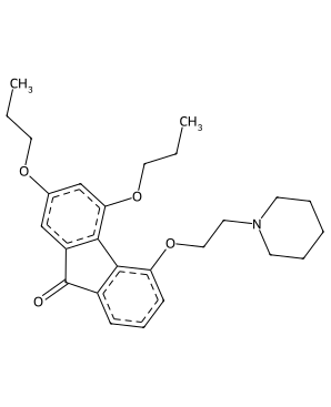 CCCOc1cc(OCCC)c2c(c1)C(=O)c1cccc(OCCN3CCCCC3)c1-2